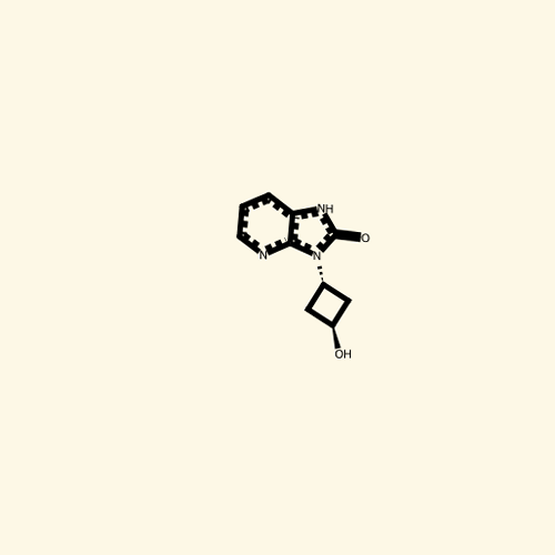 O=c1[nH]c2cccnc2n1[C@H]1C[C@H](O)C1